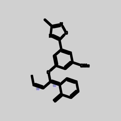 C=c1cccc/c1=C(/C=C\C)Oc1cc(OC)cc(-c2nc(C)no2)c1